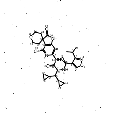 CC(C)c1nocc1C(=O)N[C@H](C(=O)Nc1cc2c(c(Cl)n1)C1(CCOCC1)C(=O)N2)C(C1CC1)C1CC1